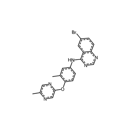 Cc1cnc(Oc2ccc(Nc3ncnc4ccc(Br)cc34)cc2C)cn1